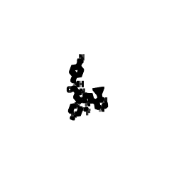 CN1CCN(c2cc(C(=O)NCc3ccc(C#N)cc3)nc3cc(-c4cncnc4C4CC4)nn23)[C@H](CF)C1